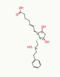 O=C(O)CCCC=CC[C@@H]1[C@@H](CC[C@@H](O)CCc2ccccc2)[C@H](O)C[C@@H]1O